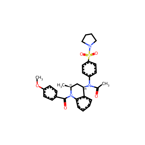 COc1ccc(C(=O)N2c3ccccc3[C@H](N(C(C)=O)c3ccc(S(=O)(=O)N4CCCC4)cc3)C[C@@H]2C)cc1